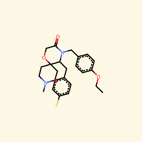 CCOc1ccc(CN2C(=O)COC3(CCN(C)CC3)C2Cc2ccc(F)cc2)cc1